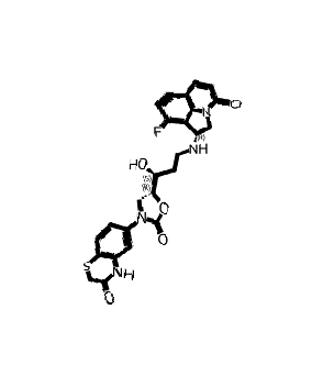 O=C1CSc2ccc(N3C[C@H]([C@@H](O)CCN[C@H]4Cn5c(=O)ccc6ccc(F)c4c65)OC3=O)cc2N1